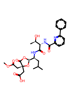 COC(=O)C[C@]1(CC(=O)O)OB([C@H](CC(C)C)NC(=O)[C@@H](NC(=O)c2cccc(-c3ccccc3)n2)[C@@H](C)O)OC1=O